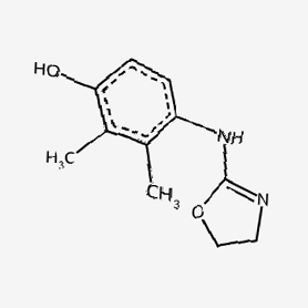 Cc1c(O)ccc(NC2=NCCO2)c1C